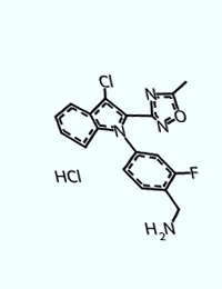 Cc1nc(-c2c(Cl)c3ccccc3n2-c2ccc(CN)c(F)c2)no1.Cl